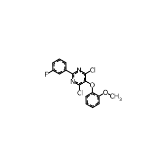 COc1ccccc1Oc1c(Cl)nc(-c2cccc(F)c2)nc1Cl